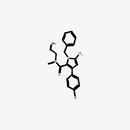 CN(CCC(C)(C)C)C(=O)c1c(-c2ccc(Cl)cc2)cc(C(F)(F)F)n1Cc1ccccc1